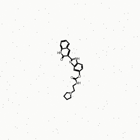 O=C(NCCN1CCCC1)Oc1ccc2[nH]c(-c3cc4ccccc4[nH]c3=O)nc2c1